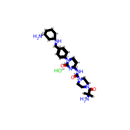 CC(C)(N)C(=O)N1CCN(C(=O)Nc2ccn(-c3ccc(CN[C@H]4CCC[C@@H](N)C4)cc3)c(=O)n2)CC1.Cl